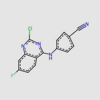 N#Cc1ccc(Nc2nc(Cl)nc3cc(F)ccc23)cc1